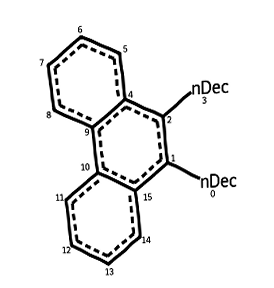 CCCCCCCCCCc1c(CCCCCCCCCC)c2ccccc2c2ccccc12